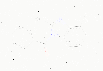 Cc1cccc2c1nc(C(C)(C)C)n2C(=O)c1ccccc1